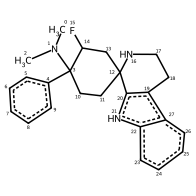 CN(C)C1(c2ccccc2)CCC2(CC1F)NCCc1c2[nH]c2ccccc12